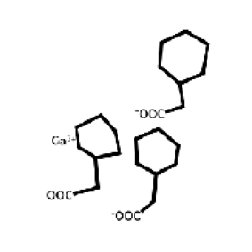 O=C([O-])CC1CCCCC1.O=C([O-])CC1CCCCC1.O=C([O-])CC1CCCCC1.[Ga+3]